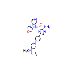 CN(C)C1CCN(c2ccc(-c3cnc(N)c(C(=O)Nc4cnccc4N4CCOCC4)n3)cc2)CC1